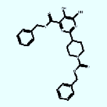 O=C(NCc1ccccc1)c1nc(C2CCN(C(=O)OCc3ccccc3)CC2)nc(O)c1O